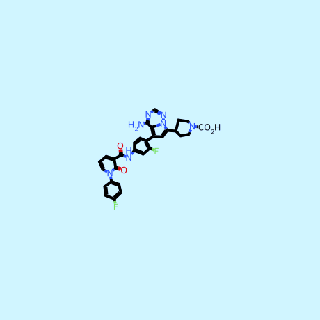 Nc1ncnn2c(C3CCN(C(=O)O)CC3)cc(-c3ccc(NC(=O)c4cccn(-c5ccc(F)cc5)c4=O)cc3F)c12